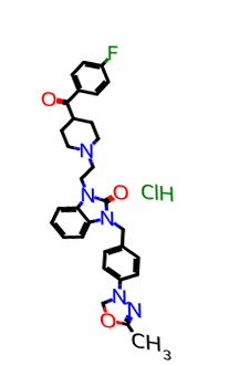 CC1=NN(c2ccc(Cn3c(=O)n(CCN4CCC(C(=O)c5ccc(F)cc5)CC4)c4ccccc43)cc2)CO1.Cl